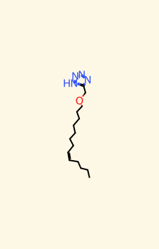 CCCC/C=C\CCCCCCCOCc1nnn[nH]1